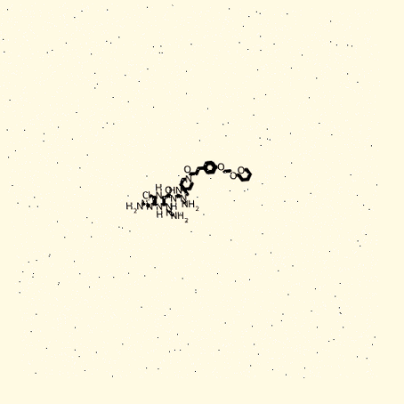 NN=NC1=C(Cl)NC(C(=O)NC2NC3(CCN(C(=O)CCc4ccc(OCCOC5CCCCO5)cc4)CC3)CN2N)C(N=NN)N1